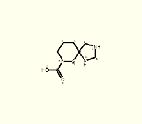 O=C(O)N1CCCC2(CNCN2)S1